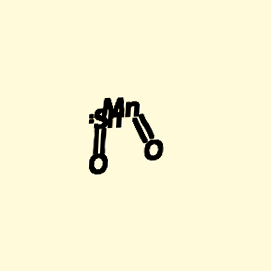 [O]=[Mn].[O]=[Sn]